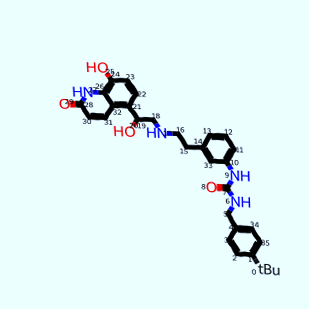 CC(C)(C)c1ccc(CNC(=O)Nc2cccc(CCNCC(O)c3ccc(O)c4[nH]c(=O)ccc34)c2)cc1